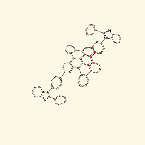 c1ccc(-c2ccccc2-c2c3ccc(-c4ccc(-n5c(-c6ccccc6)nc6ccccc65)cc4)cc3c(-c3ccccc3-c3ccccc3)c3ccc(-c4ccc(-n5c(-c6ccccc6)nc6ccccc65)cc4)cc23)cc1